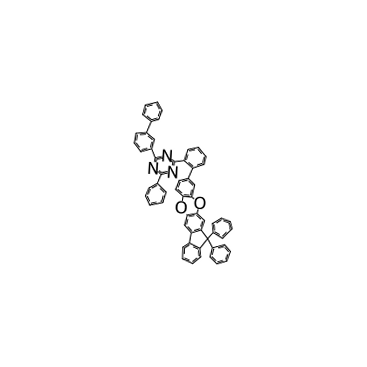 c1ccc(-c2cccc(-c3nc(-c4ccccc4)nc(-c4ccccc4-c4ccc5c(c4)Oc4cc6c(cc4O5)-c4ccccc4C6(c4ccccc4)c4ccccc4)n3)c2)cc1